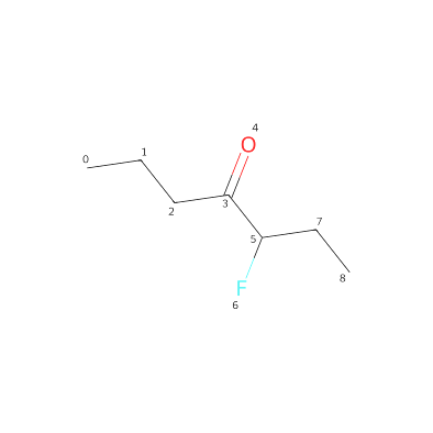 CCCC(=O)C(F)CC